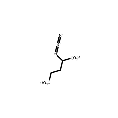 [N-]=[N+]=NC(CCC(=O)O)C(=O)O